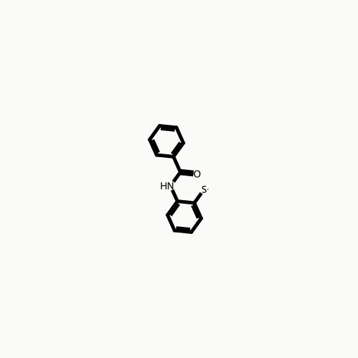 O=C(Nc1ccccc1[S])c1ccccc1